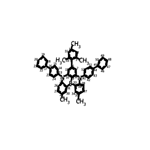 Cc1cc(C)c(-c2cc3c4c(c2)N(c2ccc(-c5ccccc5)cc2)c2ccc(C)cc2B4c2cc(C)ccc2N3c2ccc(-c3ccccc3)cc2)c(C)c1